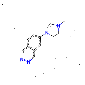 CN1CCN(c2ccc3cnncc3c2)CC1